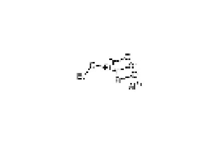 CC(C)[O-].CC(C)[O-].CC(C)[O-].CCOCC.[Al+3]